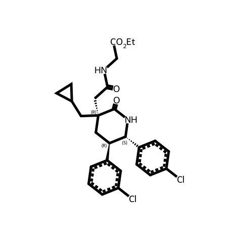 CCOC(=O)CNC(=O)C[C@@]1(CC2CC2)C[C@H](c2cccc(Cl)c2)[C@@H](c2ccc(Cl)cc2)NC1=O